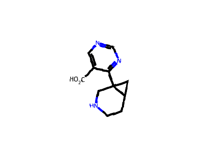 O=C(O)c1cn[c]nc1C12CNCCC1C2